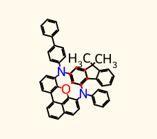 CC1(C)c2ccccc2-c2ccc(N(c3ccc(-c4ccccc4)cc3)c3cccc4c3Oc3c(N(c5ccccc5)c5ccccc5)ccc5cccc-4c35)cc21